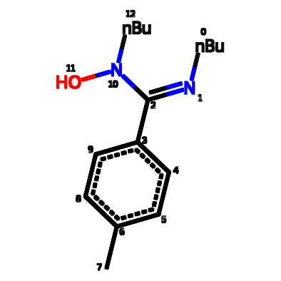 CCCCN=C(c1ccc(C)cc1)N(O)CCCC